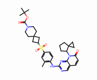 Cc1cc(S(=O)(=O)C2CC3(CCN(C(=O)OC(C)(C)C)CC3)C2)ccc1Nc1ncc2ccc(=O)n(C3CCCC34CC4)c2n1